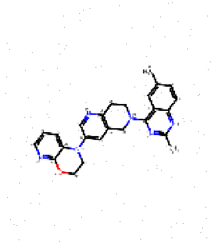 Cc1ccc2nc(C)nc(N3CCc4ncc(N5CCOc6ncccc65)cc4C3)c2c1